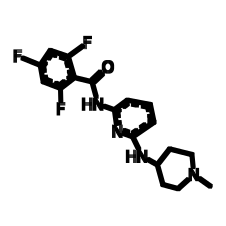 CN1CCC(Nc2cccc(NC(=O)c3c(F)cc(F)cc3F)n2)CC1